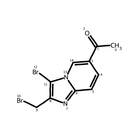 CC(=O)c1ccc2nc(CBr)c(Br)n2c1